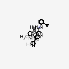 CC1(N)CCC(Nc2c(/C(N)=N/c3ccccc3C3CC3)cnn3cc(-c4cn[nH]c4)cc23)C1(C)C